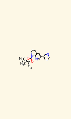 CC(C)(C)OC(=O)N1CCCc2cc(C3=CCCN=C3)cnc21